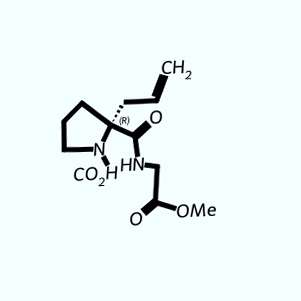 C=CC[C@@]1(C(=O)NCC(=O)OC)CCCN1C(=O)O